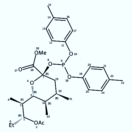 CC[C@@H](OC(C)=O)[C@@H](C)[C@@H]1O[C@](OP(Oc2ccc(C)cc2)Oc2ccc(C)cc2)(C(=O)OC)C[C@@H](C)[C@H]1C